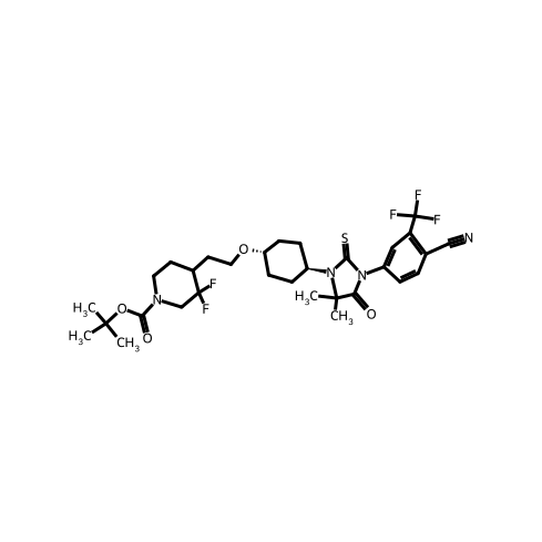 CC(C)(C)OC(=O)N1CCC(CCO[C@H]2CC[C@H](N3C(=S)N(c4ccc(C#N)c(C(F)(F)F)c4)C(=O)C3(C)C)CC2)C(F)(F)C1